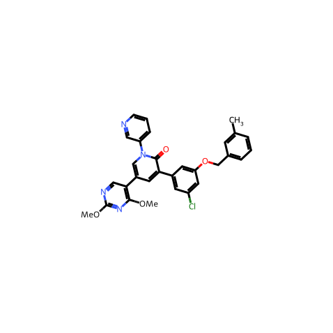 COc1ncc(-c2cc(-c3cc(Cl)cc(OCc4cccc(C)c4)c3)c(=O)n(-c3cccnc3)c2)c(OC)n1